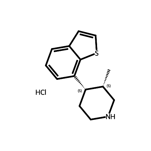 C[C@@H]1CNCC[C@@H]1c1cccc2ccsc12.Cl